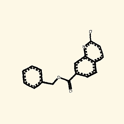 O=C(OCc1ccccc1)c1ccc2ccc(Cl)nc2c1